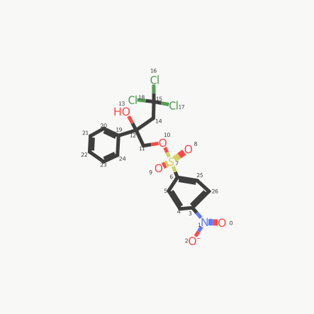 O=[N+]([O-])c1ccc(S(=O)(=O)OCC(O)(CC(Cl)(Cl)Cl)c2ccccc2)cc1